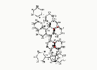 c1ccc(N(c2ccc3c(c2)sc2cccc(C4CCCCC4)c23)c2ccc3ccc(C4CCCCC4)cc3c2-c2cccc3ccccc23)c(-c2ccc(C3CCCCC3)cc2)c1